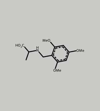 COc1cc(OC)c(CNC(C)C(=O)O)c(OC)c1